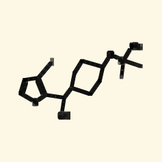 CC(C)(C)[Si](C)(C)OC1CCC(C(O)c2sccc2I)CC1